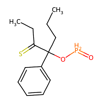 CCCC(O[PH2]=O)(C(=S)CC)c1ccccc1